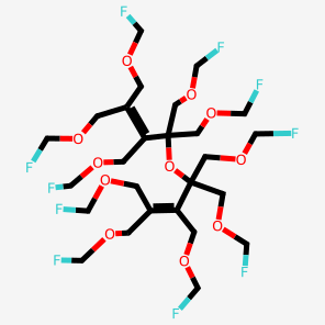 FCOCC(COCF)=C(COCF)C(COCF)(COCF)OC(COCF)(COCF)C(COCF)=C(COCF)COCF